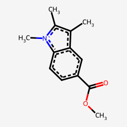 COC(=O)c1ccc2c(c1)c(C)c(C)n2C